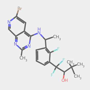 Cc1nc(NC(C)c2cccc(C(F)(F)C(O)C(C)(C)C)c2F)c2cc(Br)ncc2n1